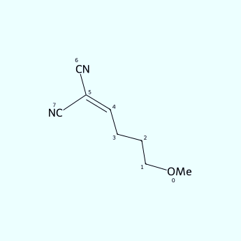 COCCCC=C(C#N)C#N